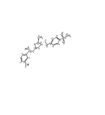 C[C@@H]1CN(C[C@@H](O)c2cccc(C#N)c2)C[C@H]1COc1ccc(S(C)(=O)=O)cc1